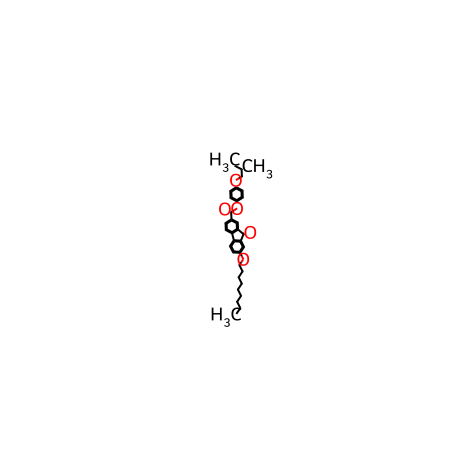 CCCCCCCCCOc1ccc2c(c1)C(=O)c1cc(C(=O)Oc3ccc(OCC(C)CC)cc3)ccc1-2